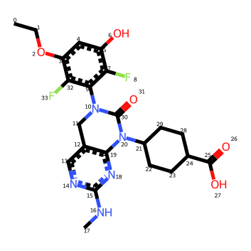 CCOc1cc(O)c(F)c(N2Cc3cnc(NC)nc3N(C3CCC(C(=O)O)CC3)C2=O)c1F